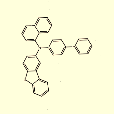 c1ccc(-c2ccc(N(c3ccc4sc5ccccc5c4c3)c3cccc4ccccc34)cc2)cc1